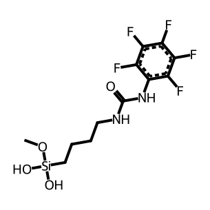 CO[Si](O)(O)CCCCNC(=O)Nc1c(F)c(F)c(F)c(F)c1F